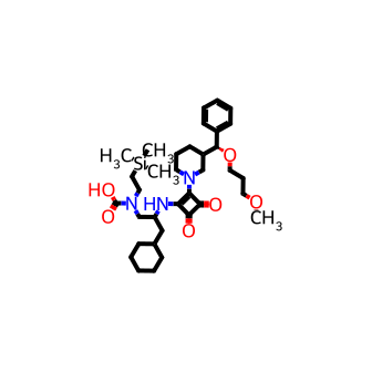 COCCCO[C@H](c1ccccc1)C1CCCN(c2c(NC(CC3CCCCC3)CN(CC[Si](C)(C)C)C(=O)O)c(=O)c2=O)C1